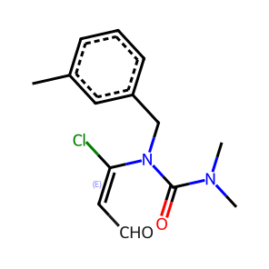 Cc1cccc(CN(C(=O)N(C)C)/C(Cl)=C\C=O)c1